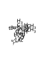 CC(=O)C(=O)[C@H](CC1CCC1)NC(=O)[C@@H]1[C@@H]2[C@H](CN1C(=O)[C@@H](C)C(C)(C)C)C2(C)C